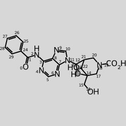 O=C(Nc1ncnc2c1ncn2C1OC2(CO)CN(C(=O)O)CC1[C@@H]2O)c1ccccc1